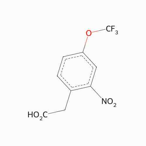 O=C(O)Cc1ccc(OC(F)(F)F)cc1[N+](=O)[O-]